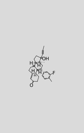 CC#C[C@]1(O)CC[C@H]2[C@@H]3CCC4=CC(=O)CC[C@@H]4[C@H]3[C@@H](c3ccc(C)c(F)c3)C[C@@]21C